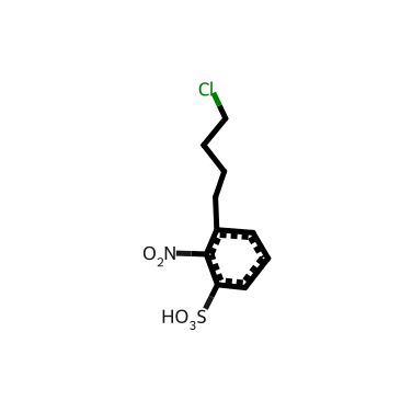 O=[N+]([O-])c1c(CCCCCl)cccc1S(=O)(=O)O